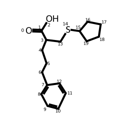 O=C(O)C(CCCc1ccccc1)CSC1CCCC1